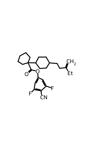 C=C(CC)CCC1CCC(C2(C(=O)Oc3cc(F)c(C#N)c(F)c3)CCCCC2)CC1